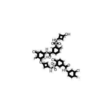 O=C(Nc1ccc(F)c(Cl)c1)c1ccc(Cl)c(S(=O)(=O)NC2CC(Oc3cc(NC(O)c4ccc(F)c(S(=O)(=O)NC5CC(O)C5)c4)cc(Cl)c3F)C2)c1